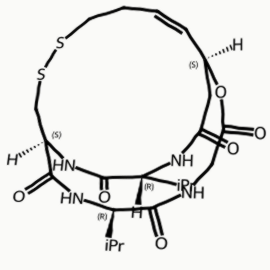 CC(C)[C@H]1NC(=O)C[C@H]2C=CCCSSC[C@@H](NC1=O)C(=O)N[C@H](C(C)C)C(=O)NCC(=O)O2